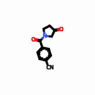 N#Cc1ccc(C(=O)N2CCC(=O)C2)cc1